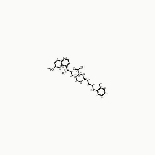 COc1ccc2nccc([C@@H](O)CC[C@@H]3CCN(CCCSc4ccccc4C)C[C@@H]3C(=O)O)c2c1